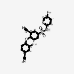 N#Cc1ccc(Oc2ccc(S(=O)(=O)Nc3ccc(F)cn3)cc2C#N)c(F)c1